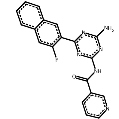 Nc1nc(NC(=O)c2cccnc2)nc(-c2cc3ccccc3cc2F)n1